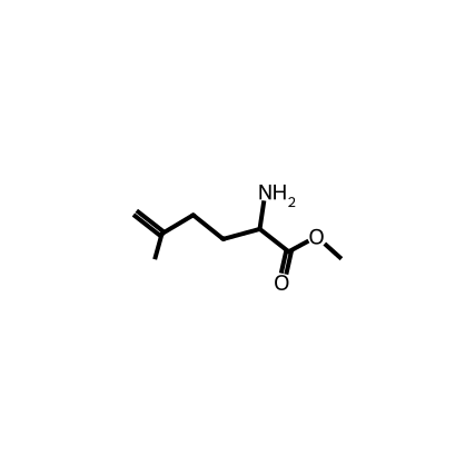 C=C(C)CCC(N)C(=O)OC